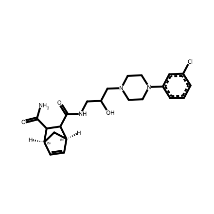 NC(=O)C1C(C(=O)NCC(O)CN2CCN(c3cccc(Cl)c3)CC2)[C@H]2C=C[C@@H]1C2